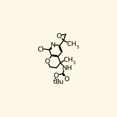 CC(C)(C)OC(=O)NC1(C)CCOc2c1cc(C1(C)CO1)nc2Cl